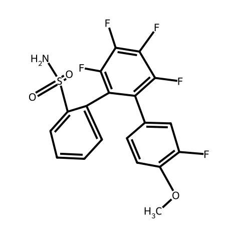 COc1ccc(-c2c(F)c(F)c(F)c(F)c2-c2ccccc2S(N)(=O)=O)cc1F